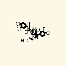 CCCn1nc(-c2ccc(Cl)c(F)c2)c(C(N)=O)c1CNC(=O)Nc1ccc(Cl)c(Cl)c1